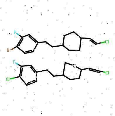 Fc1cc(CCC2CCC(/C=C/Cl)CC2)ccc1Br.Fc1cc(CCC2CCC(/C=C/Cl)CC2)ccc1Cl